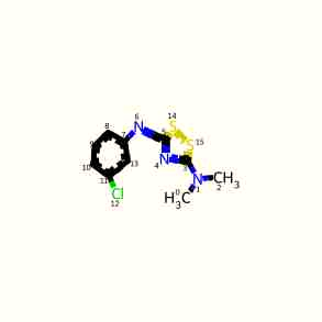 CN(C)c1n/c(=N\c2cccc(Cl)c2)ss1